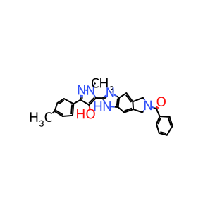 Cc1ccc(-c2nn(C)c(-c3nc4cc5c(cc4[nH]3)CN(C(=O)c3ccccc3)C5)c2O)cc1